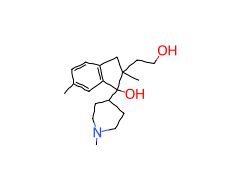 Cc1ccc2c(c1)C(O)(C1CCN(C)CC1)C(C)(CCO)C2